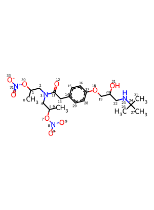 CC(CN(CC(C)O[N+](=O)[O-])C(=O)Cc1ccc(OCC(O)CNC(C)(C)C)cc1)O[N+](=O)[O-]